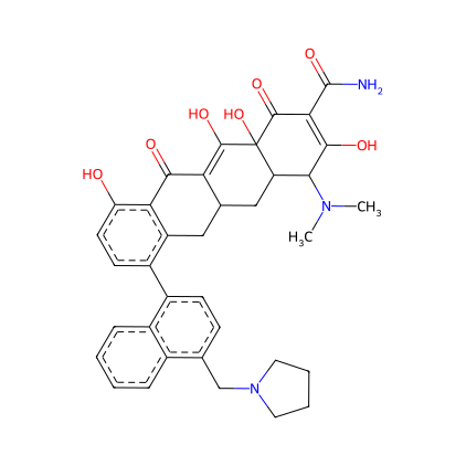 CN(C)C1C(O)=C(C(N)=O)C(=O)C2(O)C(O)=C3C(=O)c4c(O)ccc(-c5ccc(CN6CCCC6)c6ccccc56)c4CC3CC12